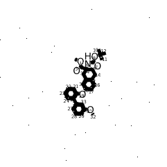 COC(=O)C1(NC(=O)OC(C)(C)C)CCc2ccc(Oc3ccccc3-c3cccc(OC)c3)cc2C1